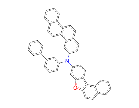 c1ccc(-c2cccc(N(c3ccc4c(c3)oc3ccc5ccccc5c34)c3ccc4ccc5c6ccccc6ccc5c4c3)c2)cc1